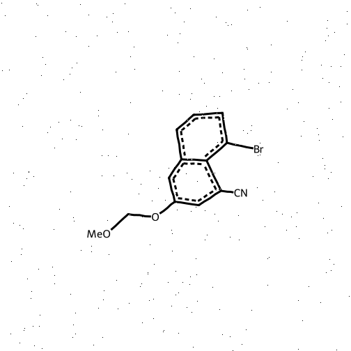 COCOc1cc(C#N)c2c(Br)cccc2c1